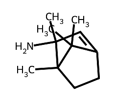 CC1(N)C=C2CCC1(C)C2(C)C